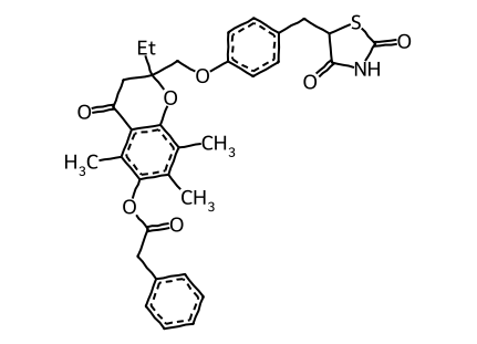 CCC1(COc2ccc(CC3SC(=O)NC3=O)cc2)CC(=O)c2c(C)c(OC(=O)Cc3ccccc3)c(C)c(C)c2O1